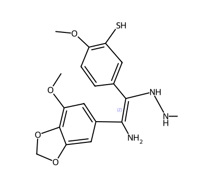 CNN/C(=C(\N)c1cc(OC)c2c(c1)OCO2)c1ccc(OC)c(S)c1